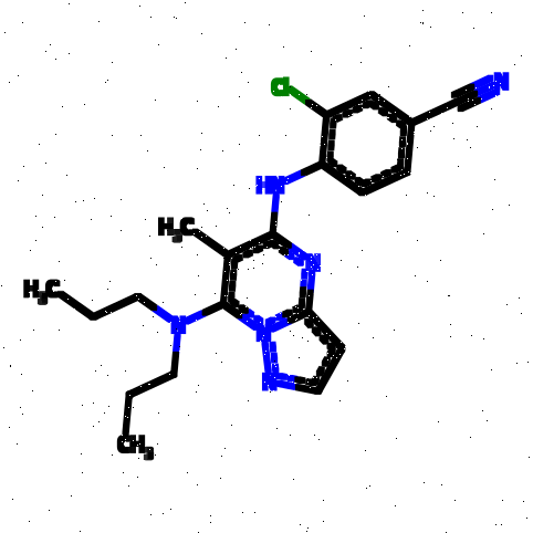 CCCN(CCC)c1c(C)c(Nc2ccc(C#N)cc2Cl)nc2ccnn12